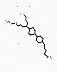 CCCCCC1CCC(C2CCC(C(CCCO)CCCOOC)CC2)CC1